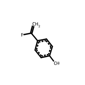 [CH]c1ccc(C(=C)F)cc1